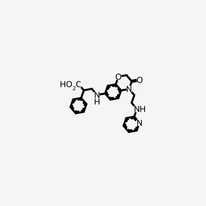 O=C(O)C(CNc1ccc2c(c1)OCC(=O)N2CCNc1ccccn1)c1ccccc1